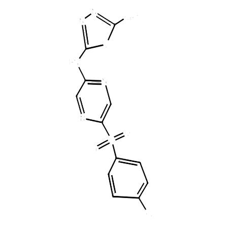 O=Cc1nnc(Nc2cnc(S(=O)(=O)c3ccc(Cl)cc3)cn2)s1